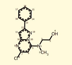 CN(CCO)c1cc(Cl)nc2cc(-c3ccccc3)nn12